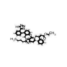 CCCCc1nc2ccn(CC(=CC(=O)OCC)c3ccccc3)c(=O)c2n1Cc1ccccc1-c1ccccc1-c1nnn[nH]1